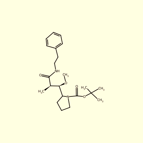 CO[C@@H](C1CCCN1C(=O)OC(C)(C)C)[C@@H](C)C(=O)NCCc1ccccc1